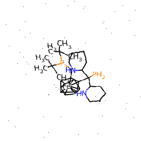 CC(C)(C)P(C[C]12[CH]3[CH]4[CH]5[C]1(C(P)(C1CCCCN1)C1CCCCN1)[Fe]43521678[CH]2[CH]1[CH]6[CH]7[CH]28)C(C)(C)C